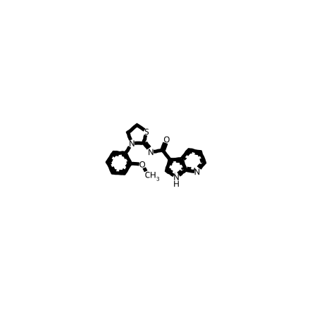 COc1ccccc1N1CCS/C1=N\C(=O)c1c[nH]c2ncccc12